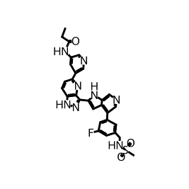 CCC(=O)Nc1cncc(-c2ccc3[nH]nc(-c4cc5c(-c6cc(F)cc(CNS(C)(=O)=O)c6)cncc5[nH]4)c3n2)c1